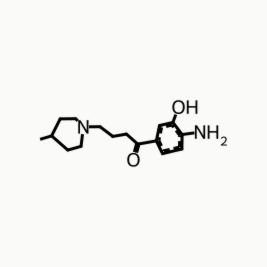 CC1CCN(CCCC(=O)c2ccc(N)c(O)c2)CC1